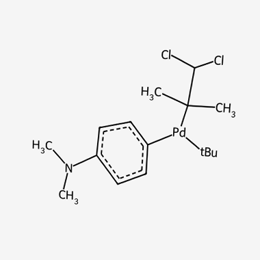 CN(C)c1cc[c]([Pd]([C](C)(C)C)[C](C)(C)C(Cl)Cl)cc1